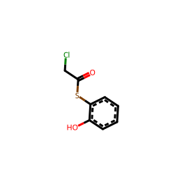 O=C(CCl)Sc1ccccc1O